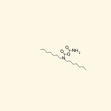 CCCCCCCN(CCCCCCC)C(=O)OC(N)=O